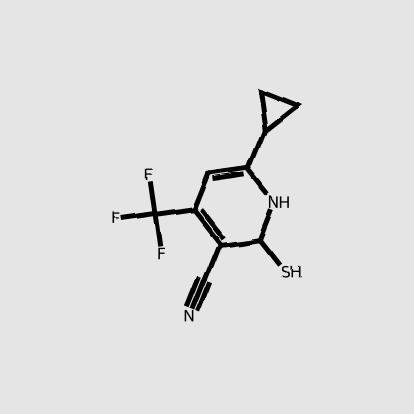 N#CC1=C(C(F)(F)F)C=C(C2CC2)NC1S